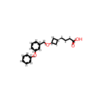 O=C(O)CCC[C@H]1C[C@@H](OCc2cccc(Oc3ccccc3)c2)C1